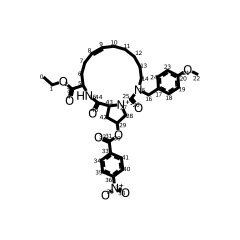 CCOC(=O)C1CCC=CCCCCCN(Cc2ccc(OC)cc2)C(=O)[N+]2CC(OC(=O)c3ccc([N+](=O)[O-])cc3)CC2C(=O)N1